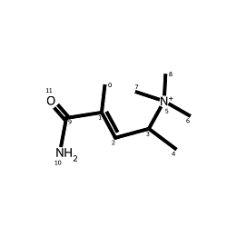 CC(=CC(C)[N+](C)(C)C)C(N)=O